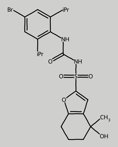 CC(C)c1cc(Br)cc(C(C)C)c1NC(=O)NS(=O)(=O)c1cc2c(o1)CCCC2(C)O